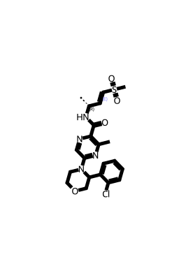 Cc1nc(N2CCOCC2c2ccccc2Cl)cnc1C(=O)N[C@H](C)/C=C/S(C)(=O)=O